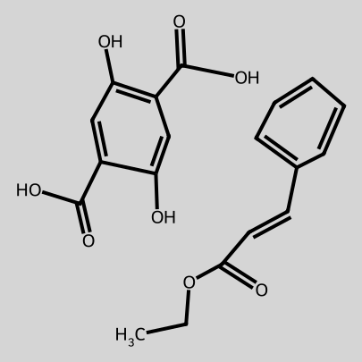 CCOC(=O)C=Cc1ccccc1.O=C(O)c1cc(O)c(C(=O)O)cc1O